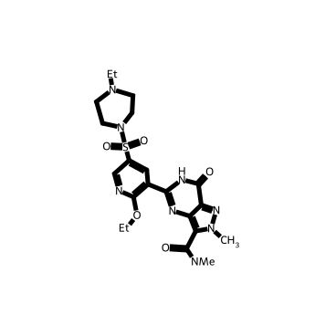 CCOc1ncc(S(=O)(=O)N2CCN(CC)CC2)cc1-c1nc2c(C(=O)NC)n(C)nc2c(=O)[nH]1